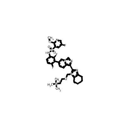 COc1ncc(F)cc1S(=O)(=O)Nc1ccc(F)c(-c2ccc3c(-c4nc5c(n4COCC[Si](C)(C)C)CCCC5)ncn3c2)c1F